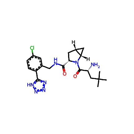 CC(C)(C)C[C@@H](N)C(=O)N1[C@H](C(=O)NCc2cc(Cl)ccc2-c2nnn[nH]2)C[C@@H]2C[C@@H]21